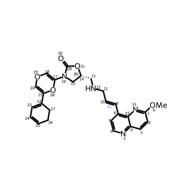 COc1ccc2nccc(/C=C/CNC[C@@H]3CN(C4=COC=C(C5=CC=CCC5)O4)C(=O)O3)c2n1